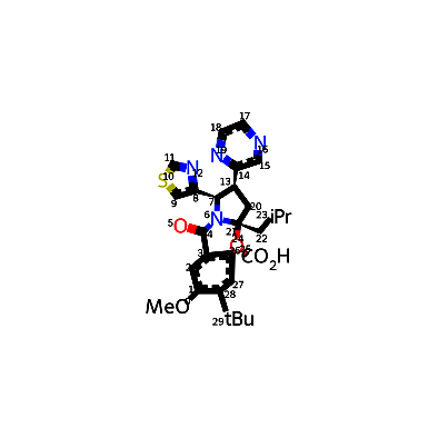 COc1cc(C(=O)N2[C@@H](c3cscn3)[C@@H](c3cnccn3)C[C@]2(CC(C)C)OC(=O)O)ccc1C(C)(C)C